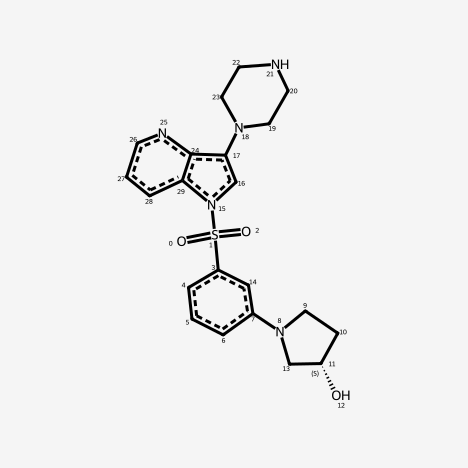 O=S(=O)(c1cccc(N2CC[C@H](O)C2)c1)n1cc(N2CCNCC2)c2ncccc21